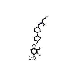 CCOc1ccc(OCC2CCC(C3CCC(/C=C(\F)CF)CC3)CC2)c(F)c1F